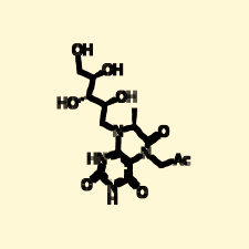 CC(=O)CN1C(=O)[C@H](C)N(C[C@H](O)[C@H](O)[C@H](O)CO)c2[nH]c(=O)[nH]c(=O)c21